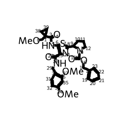 COCC1(C(=O)Nc2sc(C3CCCN3C(=O)OCc3ccccc3)nc2C(=O)NCc2ccc(OC)cc2OC)CC1